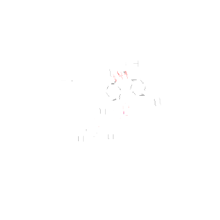 C=C(C)c1ccc(C)cc1-c1c(O)cc(CCCCC)cc1OP(C)(=O)OCOC(=O)C(C)(C)C